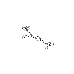 N#CCN(CC#N)CCN(CC#N)CCN1CCN(CCN2CCNC2=O)CC1